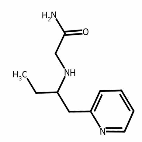 CCC(Cc1ccccn1)NCC(N)=O